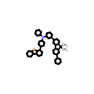 CC1(C)c2ccc(-c3cccc(N(c4ccccc4)c4ccc(-c5cccc6c5sc5ccccc56)cc4)c3)cc2-c2ccc(-c3ccccc3)cc21